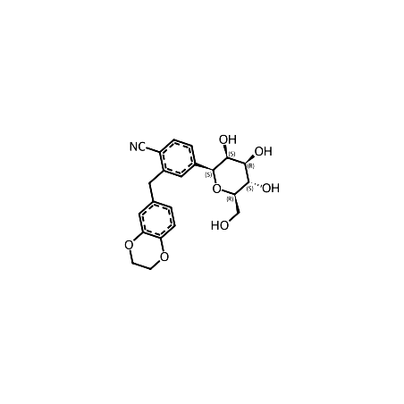 N#Cc1ccc([C@@H]2O[C@H](CO)[C@@H](O)[C@H](O)[C@@H]2O)cc1Cc1ccc2c(c1)OCCO2